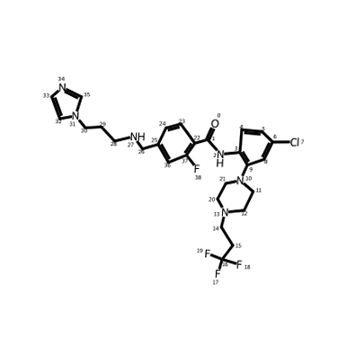 O=C(Nc1ccc(Cl)cc1N1CCN(CCC(F)(F)F)CC1)c1ccc(CNCCCn2ccnc2)cc1F